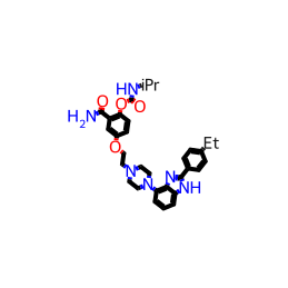 CCc1ccc(-c2nc3c(N4CCN(CCOc5ccc(OC(=O)NC(C)C)c(C(N)=O)c5)CC4)cccc3[nH]2)cc1